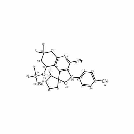 CC(C)c1nc2c(c3c1[C@@H](c1ccc(C#N)cc1)OC31CCCC1I)C(O[Si](C)(C)C(C)(C)C)CC(C)(C)C2